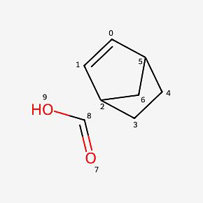 C1=CC2CCC1C2.O=CO